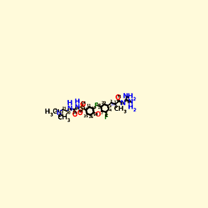 C/C(=C\c1cc(F)c(Oc2ccc(S(=O)(=O)NC(=O)NCCN(C)C)cc2)c(F)c1)C(=O)N=C(N)N